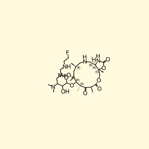 CO[C@]1(C)C[C@@H](C)CN[C@H](C)[C@H]2NC(=O)O[C@]2(C)COC(=O)C(C)C(=O)[C@H](C)[C@H]1OC1OC(CNCCF)CC(N(C)C)C1O